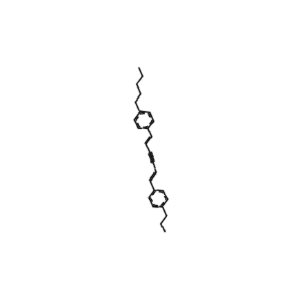 CCCCCc1ccc(C=CC#CC=Cc2ccc(CCC)cc2)cc1